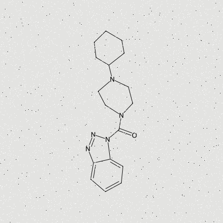 O=C(N1CCN(C2CCCCC2)CC1)n1nnc2ccccc21